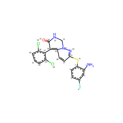 Nc1cc(F)ccc1SC1=NN2CNC(=O)C(c3c(Cl)cccc3Cl)=C2C=C1